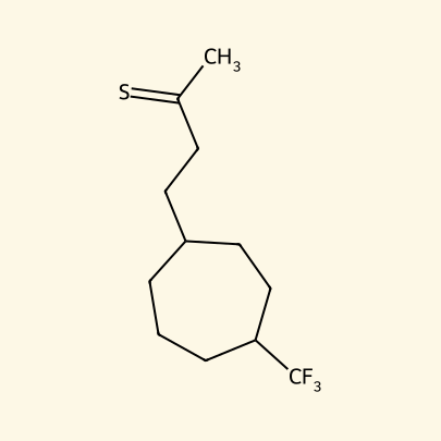 CC(=S)CCC1CCCC(C(F)(F)F)CC1